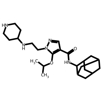 CC(C)Oc1c(C(=O)NC2C3CC4CC(C3)CC2C4)cnn1CCNC1CCNCC1